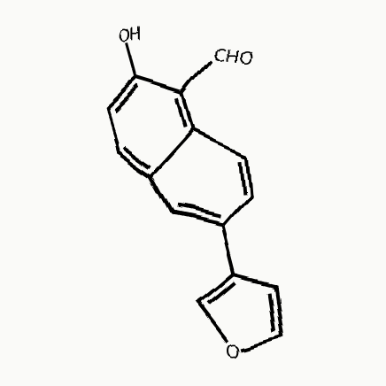 O=Cc1c(O)ccc2cc(-c3ccoc3)ccc12